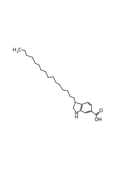 CCCCCCCCCCCCCCCCC1CNc2cc(C(=O)O)ccc21